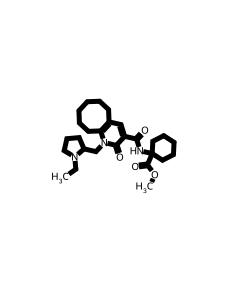 CCN1CCCC1Cn1c2c(cc(C(=O)NC3(C(=O)OC)CCCCC3)c1=O)CCCCCC2